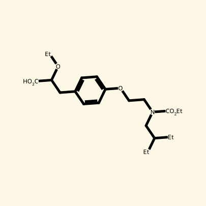 CCOC(=O)N(CCOc1ccc(CC(OCC)C(=O)O)cc1)CC(CC)CC